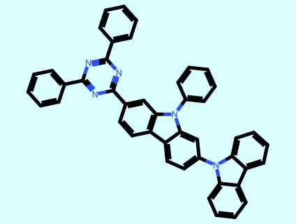 c1ccc(-c2nc(-c3ccccc3)nc(-c3ccc4c5ccc(-n6c7ccccc7c7ccccc76)cc5n(-c5ccccc5)c4c3)n2)cc1